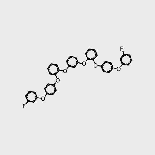 Fc1cccc(Oc2ccc(Oc3ccccc3Oc3cccc(Oc4ccccc4Oc4ccc(Oc5cccc(F)c5)cc4)c3)cc2)c1